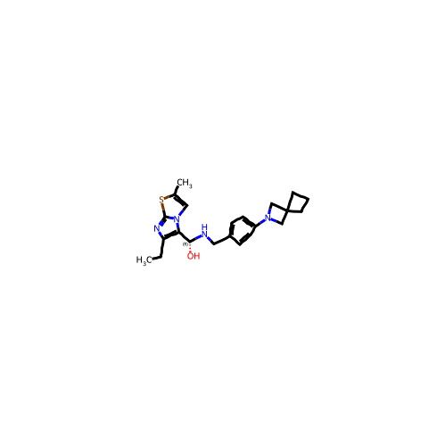 CCc1nc2sc(C)cn2c1[C@@H](O)NCc1ccc(N2CC3(CCC3)C2)cc1